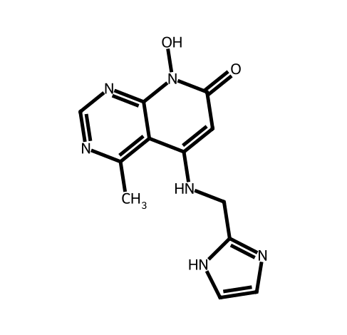 Cc1ncnc2c1c(NCc1ncc[nH]1)cc(=O)n2O